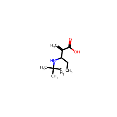 C=C(C(=O)O)C(CC)NC(C)(C)C